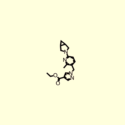 CCOC(=O)c1cnn(Cc2ccc(N3CC4CC4C3)nc2C)c1